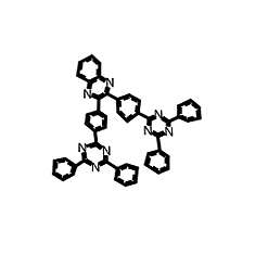 c1ccc(-c2nc(-c3ccccc3)nc(-c3ccc(-c4nc5ccccc5nc4-c4ccc(-c5nc(-c6ccccc6)nc(-c6ccccc6)n5)cc4)cc3)n2)cc1